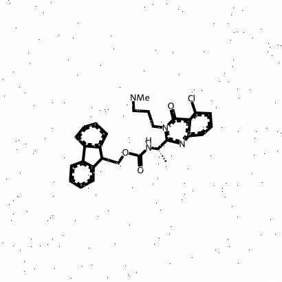 CNCCCn1c([C@H](C)NC(=O)OCC2c3ccccc3-c3ccccc32)nc2cccc(Cl)c2c1=O